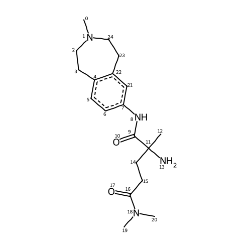 CN1CCc2ccc(NC(=O)C(C)(N)CCC(=O)N(C)C)cc2CC1